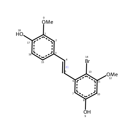 COc1cc(/C=C/c2cc(O)cc(OC)c2Br)ccc1O